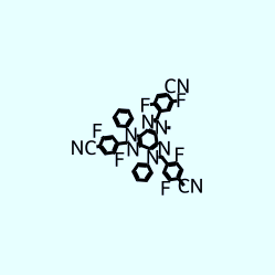 Cn1c(-c2cc(F)c(C#N)cc2F)nc2c1c1nc(-c3cc(F)c(C#N)cc3F)n(-c3ccccc3)c1c1nc(-c3cc(F)c(C#N)cc3F)n(-c3ccccc3)c21